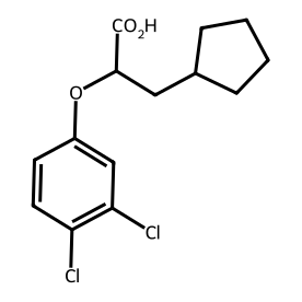 O=C(O)C(CC1CCCC1)Oc1ccc(Cl)c(Cl)c1